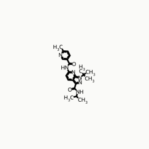 Cc1ccc(C(=O)Nc2ccc3c(C(=O)NC(C)C)nn(C(C)(C)C)c3n2)cn1